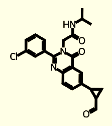 CC(C)NC(=O)Cn1c(-c2cccc(Cl)c2)nc2ccc(C3CC3C=O)cc2c1=O